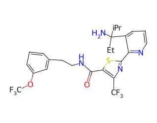 CCC(N)(c1cccnc1-c1nc(C(F)(F)F)c(C(=O)NCCc2cccc(OC(F)(F)F)c2)s1)C(C)C